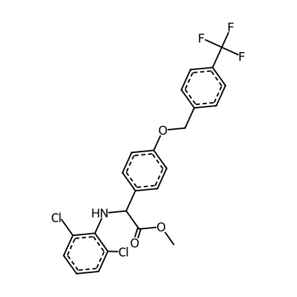 COC(=O)C(Nc1c(Cl)cccc1Cl)c1ccc(OCc2ccc(C(F)(F)F)cc2)cc1